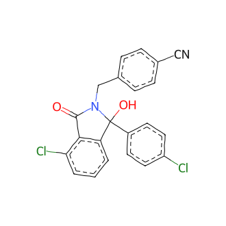 N#Cc1ccc(CN2C(=O)c3c(Cl)cccc3C2(O)c2ccc(Cl)cc2)cc1